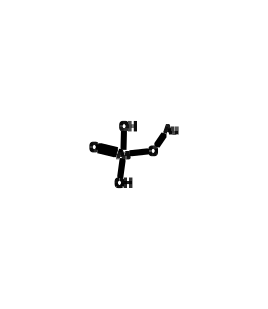 O=[As](O)(O)[O][Au]